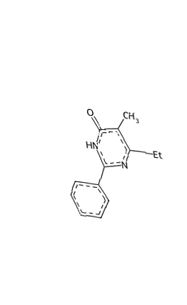 CCc1nc(-c2ccccc2)[nH]c(=O)c1C